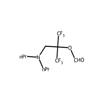 CCCN(CCC)CC(OC=O)(C(F)(F)F)C(F)(F)F